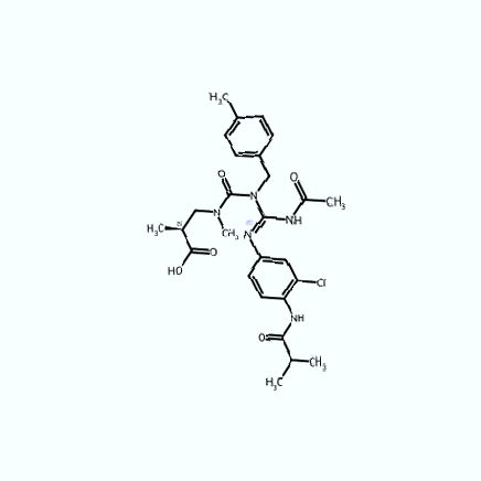 CC(=O)N/C(=N\c1ccc(NC(=O)C(C)C)c(Cl)c1)N(Cc1ccc(C)cc1)C(=O)N(C)C[C@H](C)C(=O)O